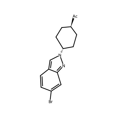 CC(=O)[C@H]1CC[C@H](n2cc3ccc(Br)cc3n2)CC1